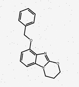 c1ccc(COc2cccc3c2nc2n3CCCO2)cc1